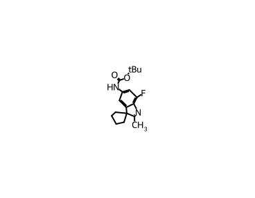 CC1=Nc2c(F)cc(NC(=O)OC(C)(C)C)cc2C12CCCC2